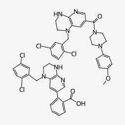 COc1ccc(N2CCN(C(=O)c3cnc4c(c3)N(Cc3cc(Cl)ccc3Cl)CCN4)CC2)cc1.O=C(O)c1ccccc1-c1cnc2c(c1)N(Cc1cc(Cl)ccc1Cl)CCN2